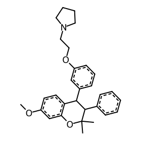 COc1ccc2c(c1)OC(C)(C)C(c1ccccc1)C2c1cccc(OCCN2CCCC2)c1